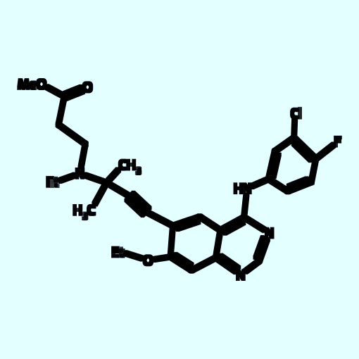 CCOc1cc2ncnc(Nc3ccc(F)c(Cl)c3)c2cc1C#CC(C)(C)N(CC)CCC(=O)OC